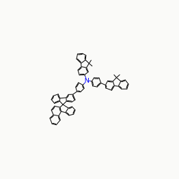 CC1(C)c2ccccc2-c2ccc(-c3ccc(N(c4ccc(-c5ccc6c(c5)-c5ccccc5C65c6ccccc6-c6c5ccc5ccccc65)cc4)c4ccc5c(c4)C(C)(C)c4ccccc4-5)cc3)cc21